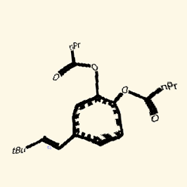 CCCC(=O)Oc1ccc(/C=C/C(C)(C)C)cc1OC(=O)CCC